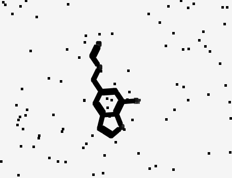 O=COCc1cc(Br)c2occc2c1